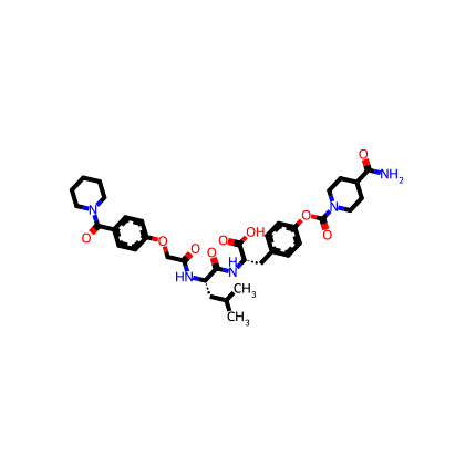 CC(C)C[C@H](NC(=O)COc1ccc(C(=O)N2CCCCC2)cc1)C(=O)N[C@@H](Cc1ccc(OC(=O)N2CCC(C(N)=O)CC2)cc1)C(=O)O